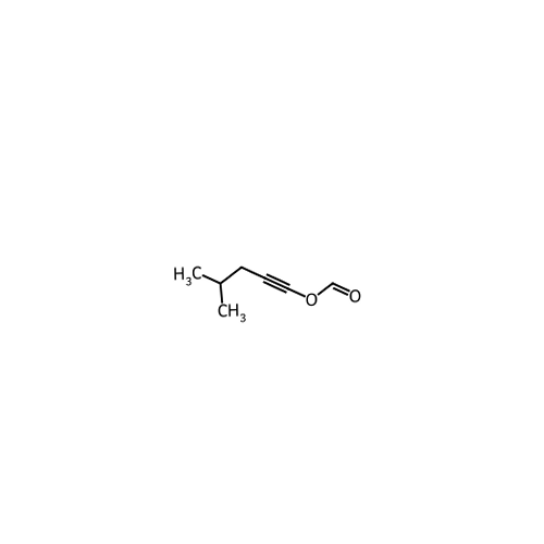 CC(C)CC#COC=O